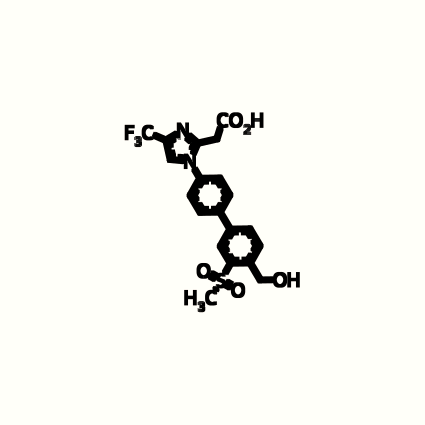 CS(=O)(=O)c1cc(-c2ccc(-n3cc(C(F)(F)F)nc3CC(=O)O)cc2)ccc1CO